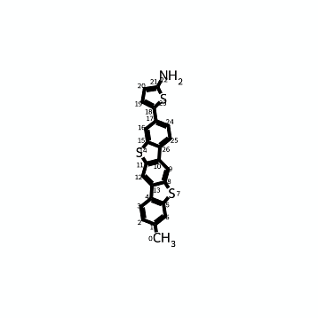 Cc1ccc2c(c1)sc1cc3c(cc12)sc1cc(-c2ccc(N)s2)ccc13